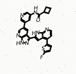 O=C(Nc1cncc(-c2cnc3[nH]nc(-c4cc5c(-c6ccc(F)s6)ccnc5[nH]4)c3c2)c1)C1CCC1